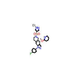 CCn1cc(S(=O)(=O)N2CCC3=Cc4c(cnn4-c4ccc(F)cc4)C[C@]3(COc3ccccn3)C2)cn1